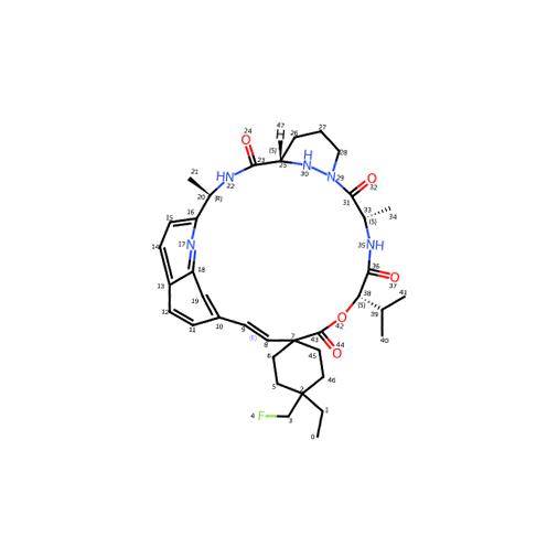 CCC1(CF)CCC2(/C=C/c3ccc4ccc(nc4c3)[C@@H](C)NC(=O)[C@@H]3CCCN(N3)C(=O)[C@H](C)NC(=O)[C@H](C(C)C)OC2=O)CC1